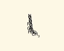 CC(=O)NC[C@H]1CN(c2ccc(N3CCN(c4ccncc4)CC3)c(F)c2)C(=O)O1